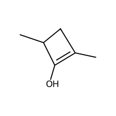 CC1=C(O)C(C)C1